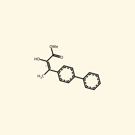 COC(=O)/C(O)=C(/C)c1ccc(-c2ccccc2)cc1